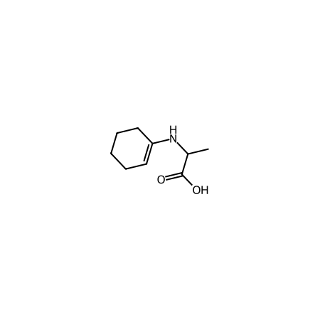 CC(NC1=CCCCC1)C(=O)O